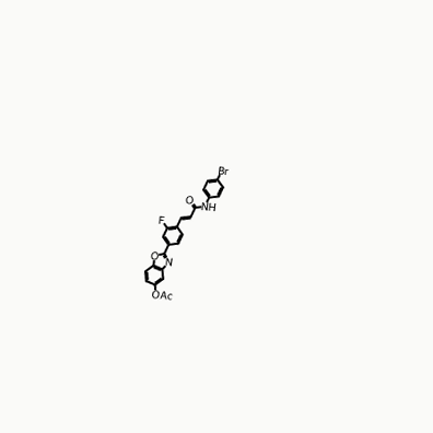 CC(=O)Oc1ccc2oc(-c3ccc(C=CC(=O)Nc4ccc(Br)cc4)c(F)c3)nc2c1